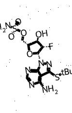 CC(C)(C)Sc1nn([C@@H]2O[C@H](COS(N)(=O)=O)[C@@H](O)[C@@H]2F)c2ncnc(N)c12